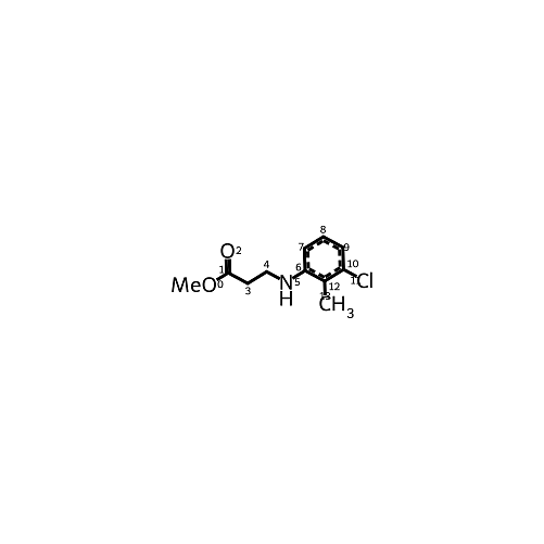 COC(=O)CCNc1cccc(Cl)c1C